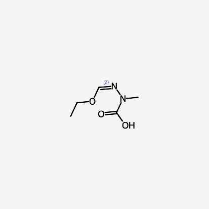 CCO/C=N\N(C)C(=O)O